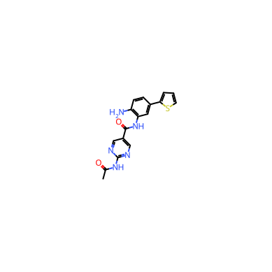 CC(=O)Nc1ncc(C(=O)Nc2cc(-c3cccs3)ccc2N)cn1